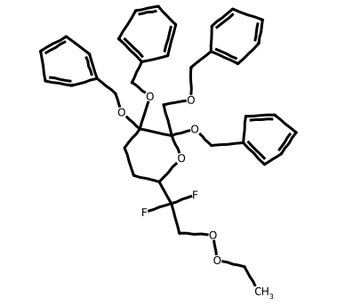 CCOOCC(F)(F)C1CCC(OCc2ccccc2)(OCc2ccccc2)C(COCc2ccccc2)(OCc2ccccc2)O1